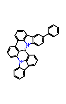 c1ccc(-c2ccc3c(c2)c2cccc4c2n3B2c3c-4cccc3-n3c4ccccc4c4cccc2c43)cc1